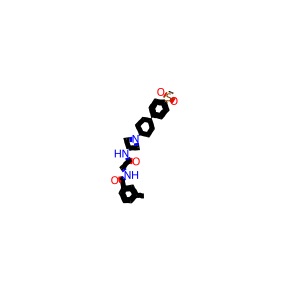 Cc1cccc(C(=O)NCC(=O)NC2CN([C@H]3CC[C@@H](c4ccc(S(C)(=O)=O)cc4)CC3)C2)c1